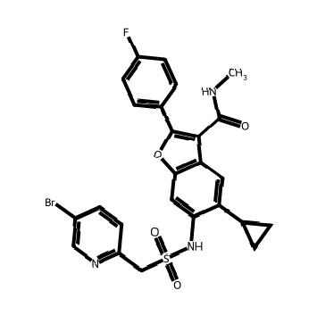 CNC(=O)c1c(-c2ccc(F)cc2)oc2cc(NS(=O)(=O)Cc3ccc(Br)cn3)c(C3CC3)cc12